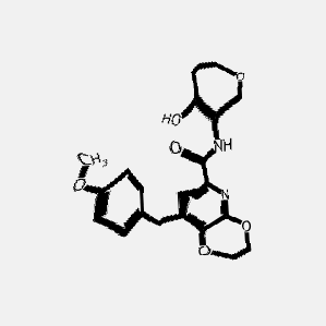 COc1ccc(Cc2cc(C(=O)NC3COCCC3O)nc3c2OCCO3)cc1